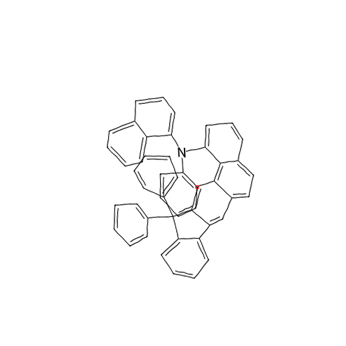 c1ccc(N(c2cccc3ccccc23)c2cccc3ccc4cc5c(cc4c23)C(c2ccccc2)(c2ccccc2)c2ccccc2-5)cc1